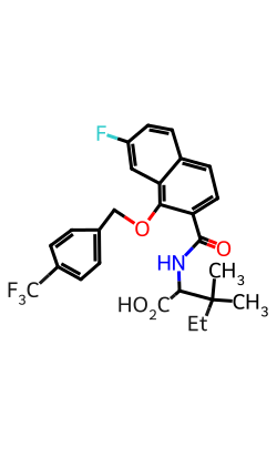 CCC(C)(C)C(NC(=O)c1ccc2ccc(F)cc2c1OCc1ccc(C(F)(F)F)cc1)C(=O)O